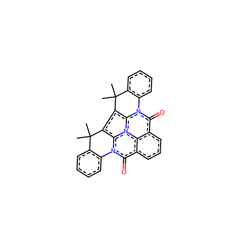 CC1(C)c2ccccc2-n2c(=O)c3cccc4c(=O)n5c6c(c1c2n6c34)C(C)(C)c1ccccc1-5